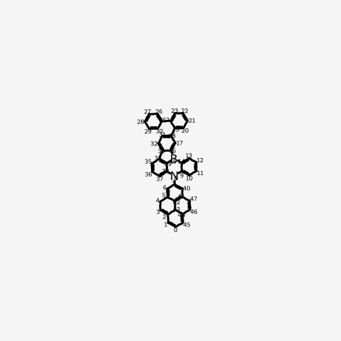 C1=CC2=CCc3cc(N4c5ccccc5B5c6cc(-c7ccccc7-c7ccccc7)ccc6-c6cccc4c65)cc4c3C2C(=C1)C=C4